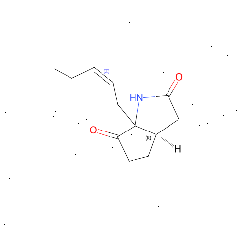 CC/C=C\CC12NC(=O)C[C@H]1CCC2=O